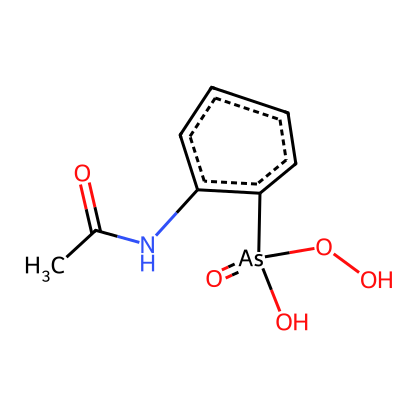 CC(=O)Nc1ccccc1[As](=O)(O)OO